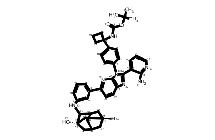 CC(C)(C)OC(=O)NC1(c2ccc(-n3c(-c4cccnc4N)nc4ccc(-c5cccc(NC6C7CC8C[C@@H](C7)C[C@@]6(O)C8)c5)nc43)cc2)CCC1